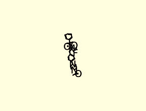 CCN(Cc1ccc(N2CCN(C(C)=O)CC2)cc1F)S(=O)(=O)C(C)(C)c1ccccc1